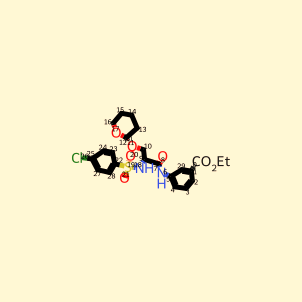 CCOC(=O)c1cccc(NC(=O)C(CO[C@H]2CCCCO2)NS(=O)(=O)c2ccc(Cl)cc2)c1